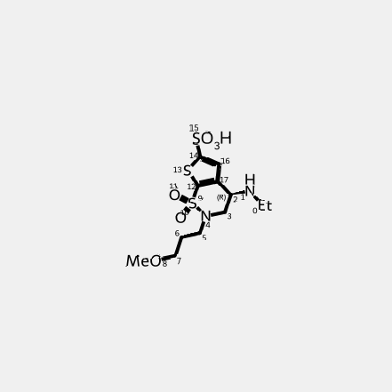 CCN[C@H]1CN(CCCOC)S(=O)(=O)c2sc(S(=O)(=O)O)cc21